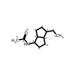 CCC1CCC2C(NC(C)=O)CCC12